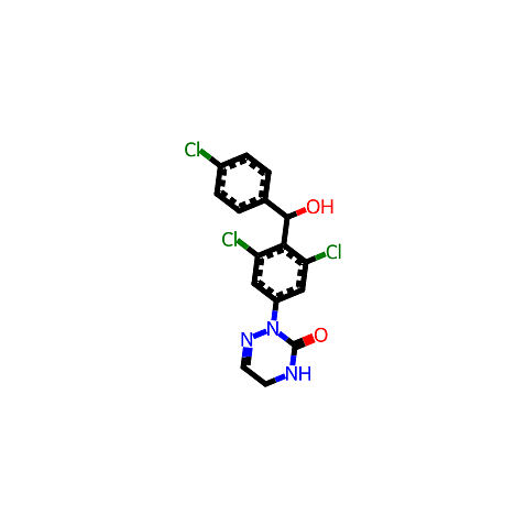 O=C1NCC=NN1c1cc(Cl)c(C(O)c2ccc(Cl)cc2)c(Cl)c1